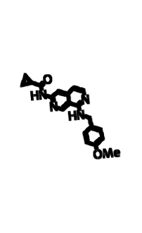 COc1ccc(CNc2nccc3cc(NC(=O)C4CC4)ncc23)cc1